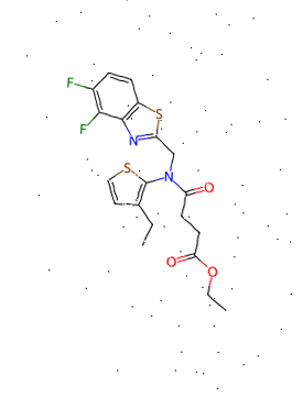 CCOC(=O)CCC(=O)N(Cc1nc2c(F)c(F)ccc2s1)c1sccc1CC